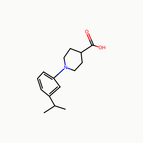 CC(C)c1cccc(N2CCC(C(=O)O)CC2)c1